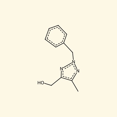 Cc1nn(Cc2ccccc2)nc1CO